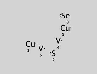 [Cu].[Cu].[S].[Se].[V].[V]